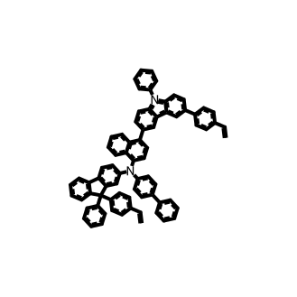 C=Cc1ccc(-c2ccc3c(c2)c2cc(-c4ccc(N(c5ccc(-c6ccccc6)cc5)c5ccc6c(c5)C(c5ccccc5)(c5ccc(C=C)cc5)c5ccccc5-6)c5ccccc45)ccc2n3-c2ccccc2)cc1